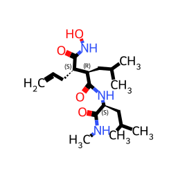 C=CC[C@H](C(=O)NO)[C@@H](CC(C)C)C(=O)N[C@@H](CC(C)C)C(=O)NC